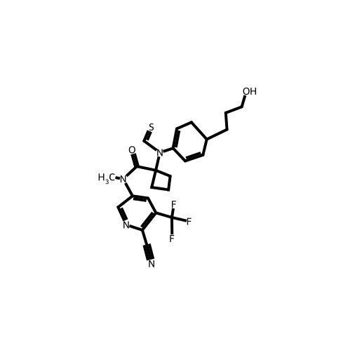 CN(C(=O)C1(N(C=S)C2=CCC(CCCO)C=C2)CCC1)c1cnc(C#N)c(C(F)(F)F)c1